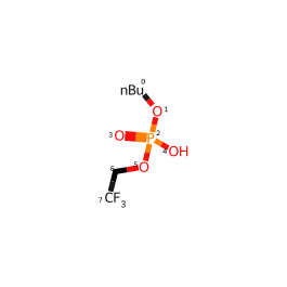 CCCCOP(=O)(O)OCC(F)(F)F